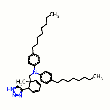 CCCCCCCCc1ccc(N(CC2(C)C=CC=CC2c2c[nH]nn2)c2ccc(CCCCCCCC)cc2)cc1